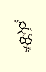 Cc1ccc(N)c(C(=O)Nc2cccc3c(S(=O)(=O)O)ccc(O)c23)c1